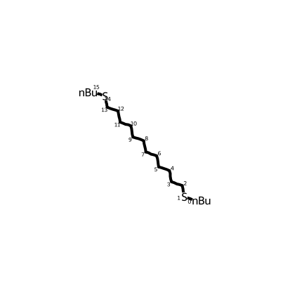 CCCCSCCCCCCCCCCCCSCCCC